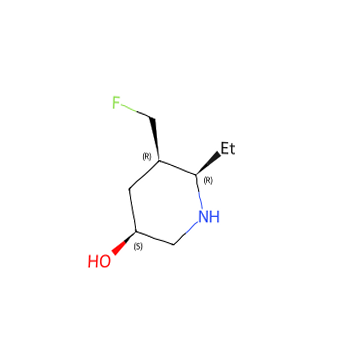 CC[C@H]1NC[C@@H](O)C[C@H]1CF